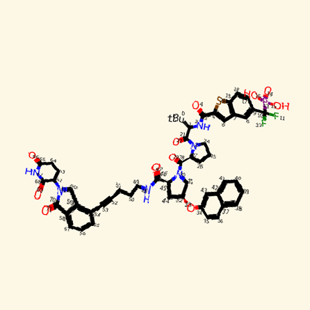 CC(C)(C)C(NC(=O)c1cc2cc(C(F)(F)P(=O)(O)O)ccc2s1)C(=O)N1CCC[C@H]1C(=O)N1C[C@@H](Oc2ccc3ccccc3c2)C[C@H]1C(=O)NCCCC#Cc1cccc2c1CN(C1CCC(=O)NC1=O)C2=O